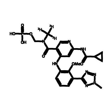 [2H]C([2H])([2H])N(COP(=O)(O)O)C(=O)c1cnc(NC(=O)C2CC2)cc1Nc1cccc(-c2nnn(C)n2)c1OC